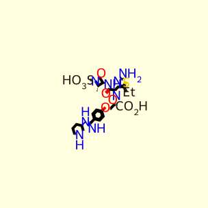 CCc1sc(N)nc1/C(=N/OC(COc1ccc(C(=N)N[C@@H]2CCCNC2)cc1)C(=O)O)C(=O)N[C@@H]1C(=O)N(S(=O)(=O)O)[C@H]1C